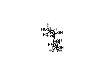 OCC[N+](CCO)(CCO)c1c(I)c(S)c(CN(CCS)CCN(CCS)CCN(CCS)Cc2c(S)c(I)c([N+](CCO)(CCO)CCO)c(I)c2S)c(S)c1I